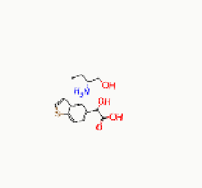 CC[C@@H](N)CO.O=C(O)C(O)c1ccc2sccc2c1